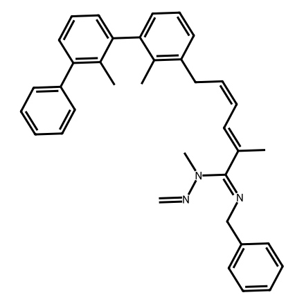 C=NN(C)C(=N\Cc1ccccc1)/C(C)=C/C=C\Cc1cccc(-c2cccc(-c3ccccc3)c2C)c1C